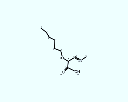 CCCCCCOC(N=NC)C(=O)O